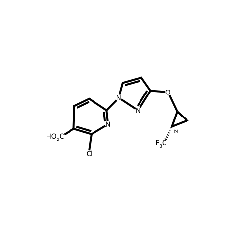 O=C(O)c1ccc(-n2ccc(OC3C[C@@H]3C(F)(F)F)n2)nc1Cl